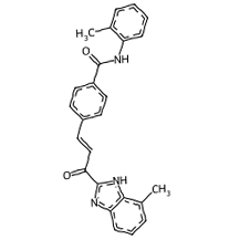 Cc1ccccc1NC(=O)c1ccc(C=CC(=O)c2nc3cccc(C)c3[nH]2)cc1